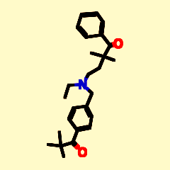 CCN(CCC(C)(C)C(=O)c1ccccc1)Cc1ccc(C(=O)C(C)(C)C)cc1